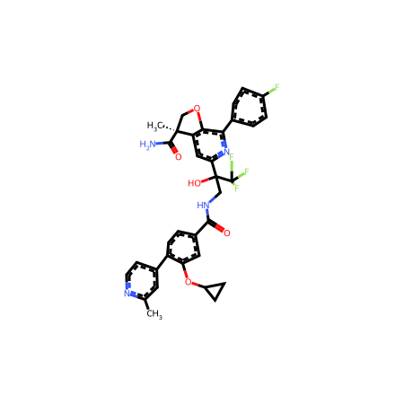 Cc1cc(-c2ccc(C(=O)NCC(O)(c3cc4c(c(-c5ccc(F)cc5)n3)OC[C@]4(C)C(N)=O)C(F)(F)F)cc2OC2CC2)ccn1